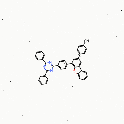 N#Cc1ccc(-c2cc(-c3ccc(-c4nc(-c5ccccc5)nc(-c5ccccc5)n4)cc3)c3oc4ccccc4c3c2)cc1